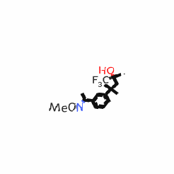 [CH2]C(O)(CC(C)(C)c1cccc(C(C)=NOC)c1)C(F)(F)F